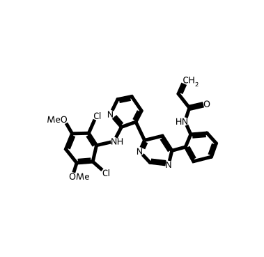 C=CC(=O)Nc1ccccc1-c1cc(-c2cccnc2Nc2c(Cl)c(OC)cc(OC)c2Cl)ncn1